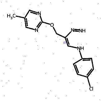 Cc1cnc(OC/C(=C/Nc2ccc(Cl)cc2)N=N)nc1